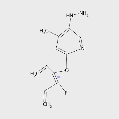 C=C/C(F)=C(\C=C)Oc1cc(C)c(NN)cn1